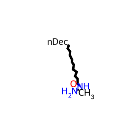 CCCCCCCCCCCCCCCCCCCCCC(=O)NC(C)N